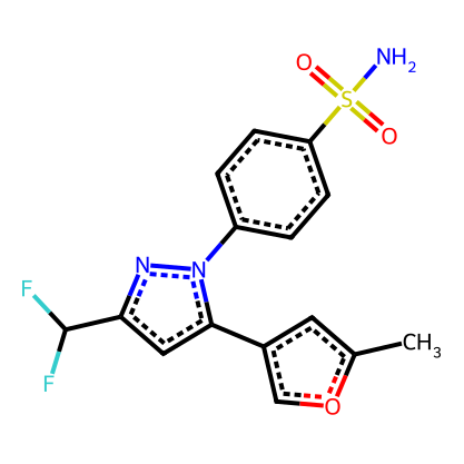 Cc1cc(-c2cc(C(F)F)nn2-c2ccc(S(N)(=O)=O)cc2)co1